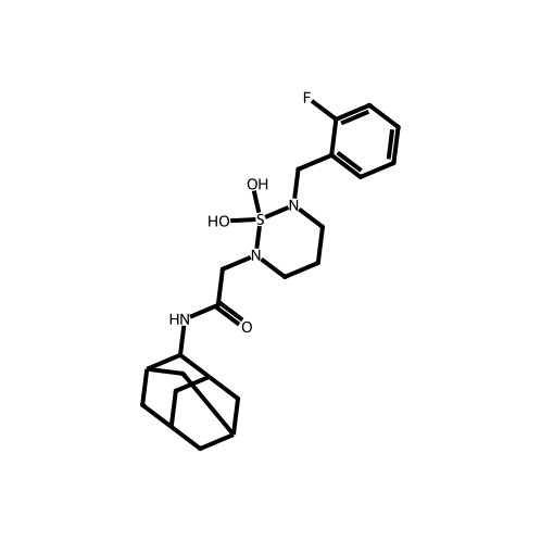 O=C(CN1CCCN(Cc2ccccc2F)S1(O)O)NC1C2CC3CC(C2)CC1C3